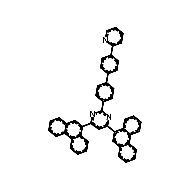 c1ccc(-c2ccc(-c3ccc(-c4nc(-c5cc6ccccc6c6ccccc56)cc(-c5cc6ccccc6c6ccccc56)n4)cc3)cc2)nc1